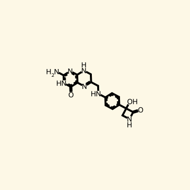 Nc1nc2c(c(=O)[nH]1)N=C(CNc1ccc(C3(O)CNC3=O)cc1)CN2